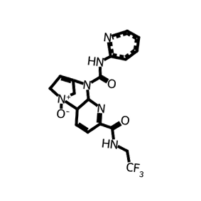 O=C(NCC(F)(F)F)C1=NC2C(C=C1)[N+]1([O-])CC=C(C1)N2C(=O)Nc1ccccn1